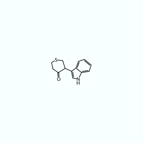 O=C1CCSCC1c1c[nH]c2ccccc12